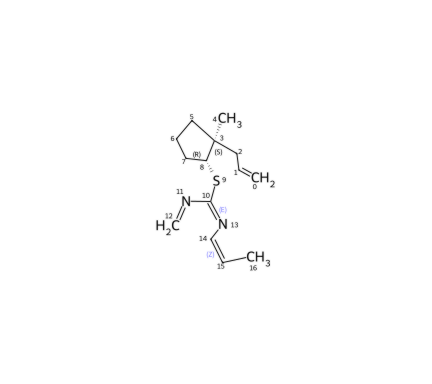 C=CC[C@]1(C)CCC[C@H]1S/C(N=C)=N/C=C\C